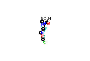 CC1(C)COCC1n1c(Cc2c(F)cc(-c3cccc(OCc4ccc(Cl)cc4F)n3)c(F)c2F)nc2ccc(C(=O)O)cc21